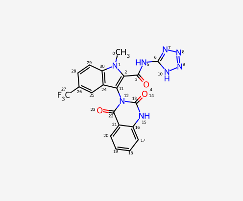 Cn1c(C(=O)Nc2nnn[nH]2)c(-n2c(=O)[nH]c3ccccc3c2=O)c2cc(C(F)(F)F)ccc21